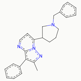 Cc1nn2c(C3CCCN(Cc4ccccc4)C3)ccnc2c1-c1ccccc1